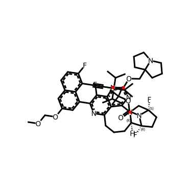 COCOc1cc(-c2nc3c4c(nc(OCC56CCCN5CCC6)nc4c2F)N2C[C@@]4(F)CC[C@@](F)([C@H]2CCC3)N4C(=O)OC(C)(C)C)c2c(C#C[Si](C(C)C)(C(C)C)C(C)C)c(F)ccc2c1